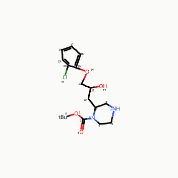 CC(C)(C)OC(=O)N1CCNCC1CC(O)COc1ccccc1Cl